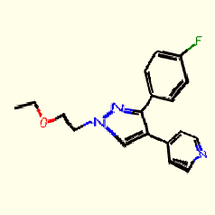 CCOCCn1cc(-c2ccncc2)c(-c2ccc(F)cc2)n1